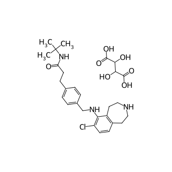 CC(C)(C)NC(=O)CCc1ccc(CNc2c(Cl)ccc3c2CCNCC3)cc1.O=C(O)C(O)C(O)C(=O)O